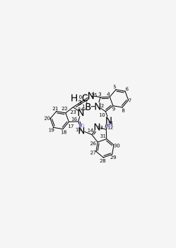 CB1n2c3c4ccccc4c2/N=C2N=C(/N=c4/c5ccccc5c(n41)=N3)c1ccccc1\2